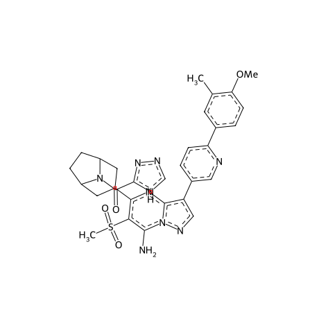 COc1ccc(-c2ccc(-c3cnn4c(N)c(S(C)(=O)=O)c(C5CC6CCC(C5)N6C(=O)c5nnc[nH]5)nc34)cn2)cc1C